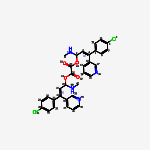 CNC(/C=C(/c1ccc(Cl)cc1)c1cccnc1)OC(=O)C(=O)OC(/C=C(/c1ccc(Cl)cc1)c1cccnc1)NC